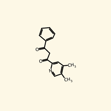 Cc1cnc(C(=O)CC(=O)c2ccccc2)cc1C